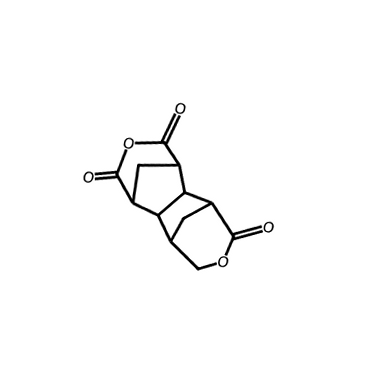 O=C1OC(=O)C2CC1C1C3COC(=O)C(C3)C21